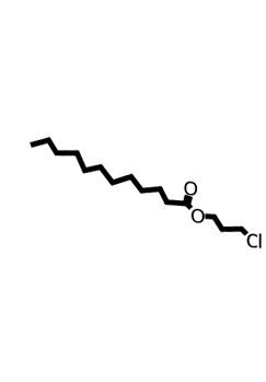 CCCCCCCCCCCC(=O)OCCCCl